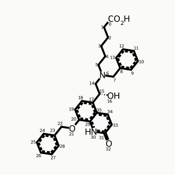 O=C(O)CCCCCN(Cc1ccccc1)C[C@H](O)c1ccc(OCc2ccccc2)c2[nH]c(=O)ccc12